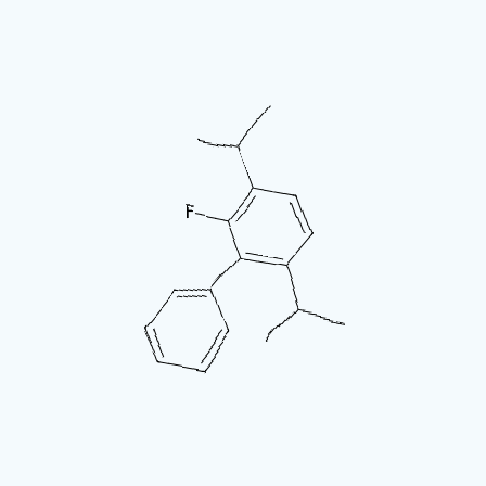 CC(C)c1ccc(C(C)C)c(-c2ccccc2)c1F